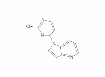 Clc1nccc(-n2ccc3ncccc32)n1